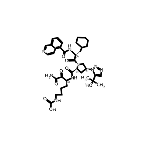 CC(C)(O)c1cnnn1[C@H]1C[C@@H](C(=O)N[C@@H](CCCCNC(=O)O)C(=O)C(N)=O)N(C(=O)[C@@H](CC2CCCCC2)NC(=O)c2cccc3cnccc23)C1